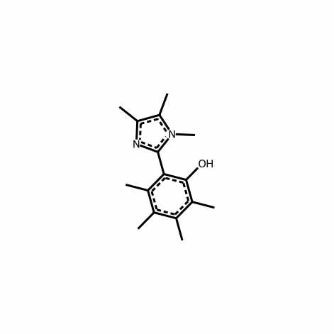 Cc1nc(-c2c(C)c(C)c(C)c(C)c2O)n(C)c1C